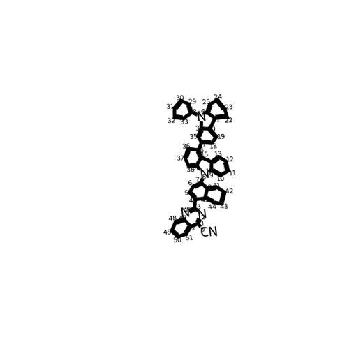 N#Cc1nc(-c2ccc(-n3c4ccccc4c4c(-c5ccc6c7ccccc7n(-c7ccccc7)c6c5)cccc43)c3ccccc23)nc2ccccc12